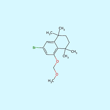 COCOc1cc(Br)cc2c1C(C)(C)CCC2(C)C